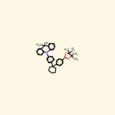 CC1(C)c2ccccc2N(c2ccc(C3(c4ccc(B5OC(C)(C)C(C)(C)O5)cc4)CCCCC3)cc2)c2ccccc21